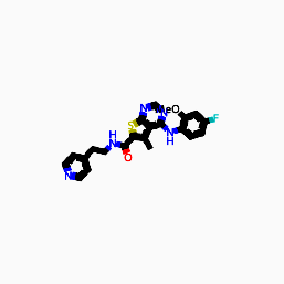 COc1cc(F)ccc1Nc1ncnc2sc(C(=O)NCCc3ccncc3)c(C)c12